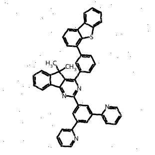 CC1(C)c2ccccc2-c2nc(-c3cc(-c4ccccn4)cc(-c4ccccn4)c3)nc(-c3cccc(-c4cccc5c4sc4ccccc45)c3)c21